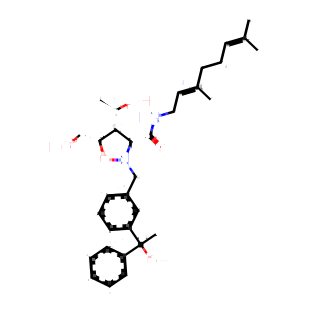 CC(C)=CCC/C(C)=C/CNC(=O)[C@H]1[C@@H]([C@@H](C)O)[C@@H](CO)ON1Cc1cccc(C(C)(O)c2ccccc2)c1